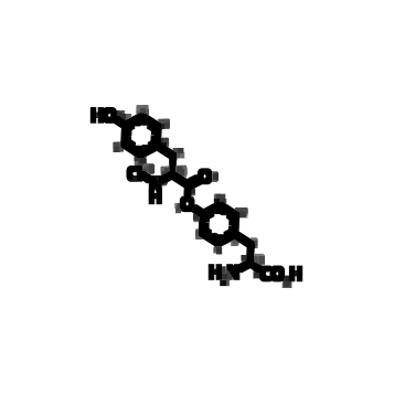 N[C@@H](Cc1ccc(OC(=O)[C@H](Cc2ccc(O)cc2)NCl)cc1)C(=O)O